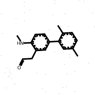 CNc1ccc(-c2cc(C)ccc2C)cc1CC=O